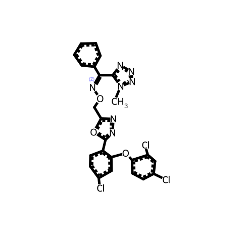 Cn1nnnc1/C(=N\OCc1nnc(-c2ccc(Cl)cc2Oc2ccc(Cl)cc2Cl)o1)c1ccccc1